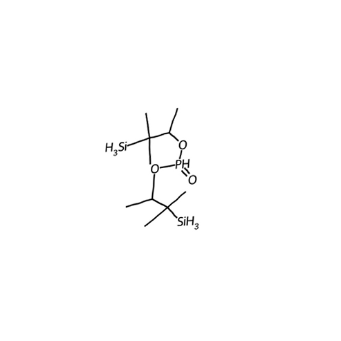 CC(O[PH](=O)OC(C)C(C)(C)[SiH3])C(C)(C)[SiH3]